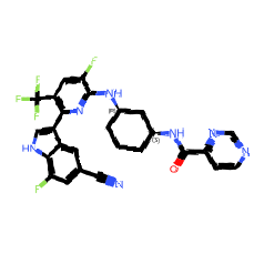 N#Cc1cc(F)c2[nH]cc(-c3nc(N[C@@H]4CCC[C@H](NC(=O)c5ccncn5)C4)c(F)cc3C(F)(F)F)c2c1